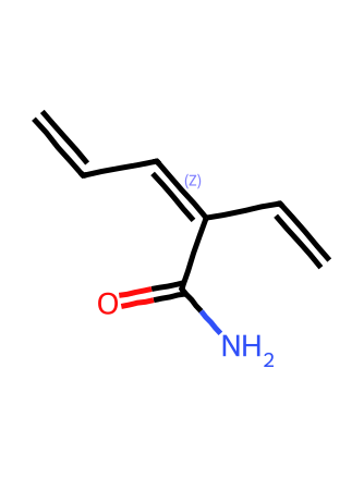 C=C/C=C(/C=C)C(N)=O